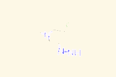 CN(CCCl)CCN=N